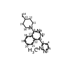 Cn1nccc1-c1nnc(N2CCC(I)CC2)c2ccccc12